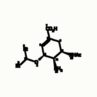 CCC(CC)O[C@@H]1C=C(C(=O)O)C[C@H](NC(C)=O)[C@H]1N